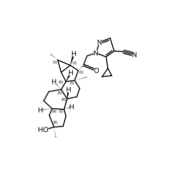 C[C@H]1C2[C@H]1[C@H](C(=O)Cn1ncc(C#N)c1C1CC1)[C@@]1(C)CC[C@H]3[C@@H](CC[C@@H]4C[C@](C)(O)CC[C@@H]43)[C@H]21